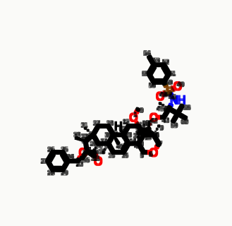 CO[C@@H]1C[C@@]23COC[C@@](C)([C@@H]2CC[C@H]2C3=CC[C@@]3(C)[C@H](C(=O)OCc4ccccc4)[C@@](C)([C@H](C)C(C)C)CC[C@]23C)[C@H]1OC[C@@](C)(NS(=O)(=O)c1ccc(C)cc1)C(C)(C)C